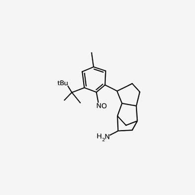 Cc1cc(C2CCC3C4CC(N)C(C4)C23)c(N=O)c(C(C)(C)C(C)(C)C)c1